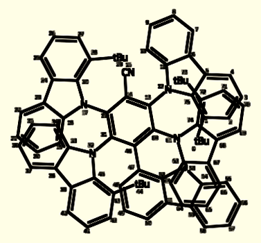 CC(C)(C)c1cccc2c3ccccc3n(-c3c(C#N)c(-n4c5ccccc5c5cccc(C(C)(C)C)c54)c(-n4c5ccccc5c5cccc(C(C)(C)C)c54)c(-c4cccc5c4oc4ccccc45)c3-n3c4ccccc4c4cccc(C(C)(C)C)c43)c12